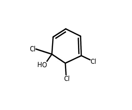 OC1(Cl)C=CC=C(Cl)C1Cl